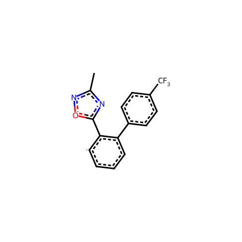 Cc1noc(-c2[c]cccc2-c2ccc(C(F)(F)F)cc2)n1